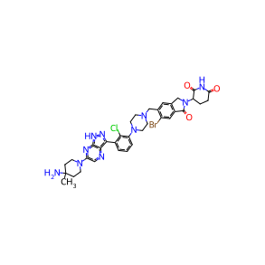 CC1(N)CCN(c2cnc3c(-c4cccc(N5CCN(Cc6cc7c(cc6Br)C(=O)N(C6CCC(=O)NC6=O)C7)CC5)c4Cl)n[nH]c3n2)CC1